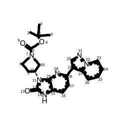 CC(C)(C)OC(=O)N1CC[C@@H](n2c(=O)[nH]c3ccc(-c4cnn5ccccc45)nc32)C1